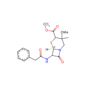 COC1(C)CN2C(=O)C(NC(=O)Cc3ccccc3)[C@H]2SC1C(=O)OC(Cl)(Cl)Cl